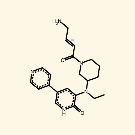 CCN(c1cc(-c2ccncc2)c[nH]c1=O)C1CCCN(C(=O)/C=C/CN)C1